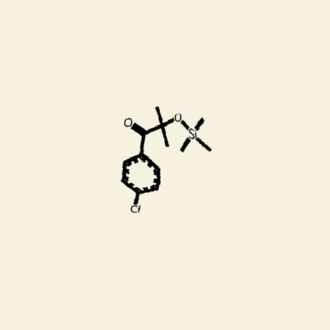 CC(C)(O[Si](C)(C)C)C(=O)c1ccc(Cl)cc1